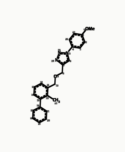 COc1ccc(-n2cc(COCc3cccc(-c4ccccc4)c3C)nn2)cc1